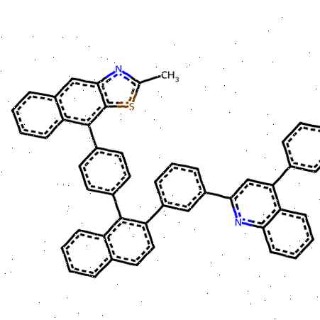 Cc1nc2cc3ccccc3c(-c3ccc(-c4c(-c5cccc(-c6cc(-c7ccccc7)c7ccccc7n6)c5)ccc5ccccc45)cc3)c2s1